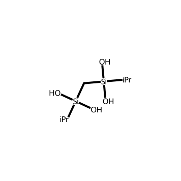 CC(C)[Si](O)(O)C[Si](O)(O)C(C)C